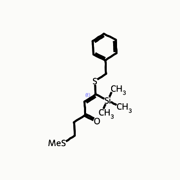 CSCCC(=O)/C=C(/SCc1ccccc1)[Si](C)(C)C